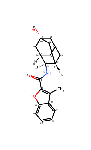 Cc1c(C(=O)N[C@H]2[C@@H]3CC4C[C@H]2C[C@](O)(C4)C3)oc2ccccc12